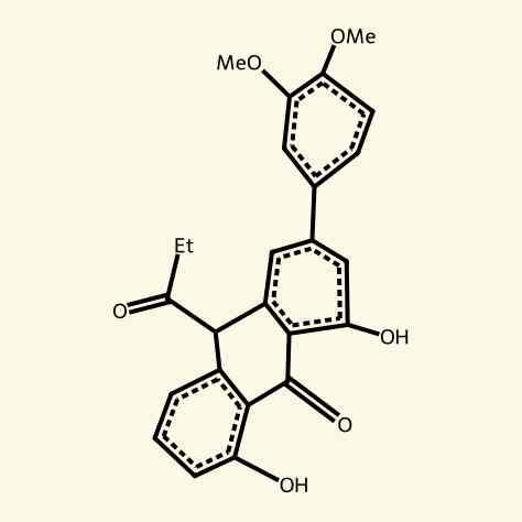 CCC(=O)C1c2cccc(O)c2C(=O)c2c(O)cc(-c3ccc(OC)c(OC)c3)cc21